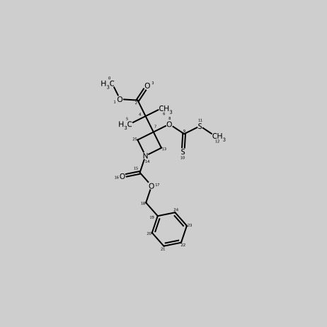 COC(=O)C(C)(C)C1(OC(=S)SC)CN(C(=O)OCc2ccccc2)C1